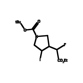 CCOC(=O)C(F)C1CN(C(=O)OC(C)(C)C)CC1I